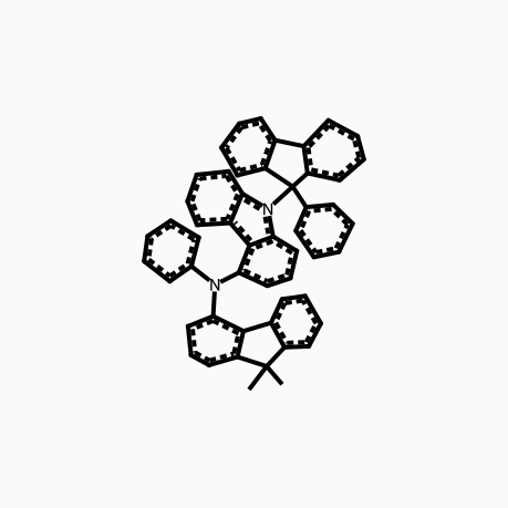 CC1(C)c2ccccc2-c2c(N(c3ccccc3)c3cccc4c3c3ccccc3n4C3(c4ccccc4)c4ccccc4-c4ccccc43)cccc21